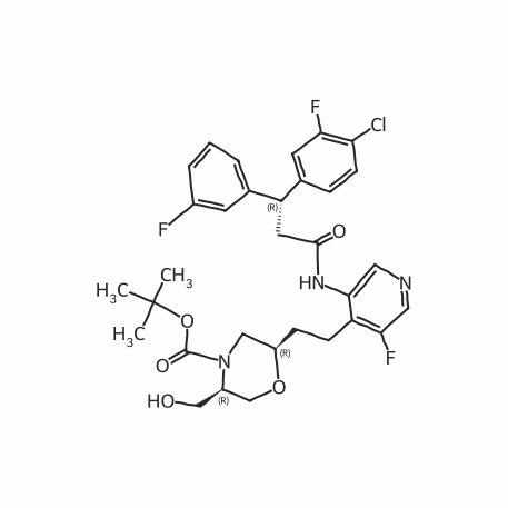 CC(C)(C)OC(=O)N1C[C@@H](CCc2c(F)cncc2NC(=O)C[C@H](c2cccc(F)c2)c2ccc(Cl)c(F)c2)OC[C@H]1CO